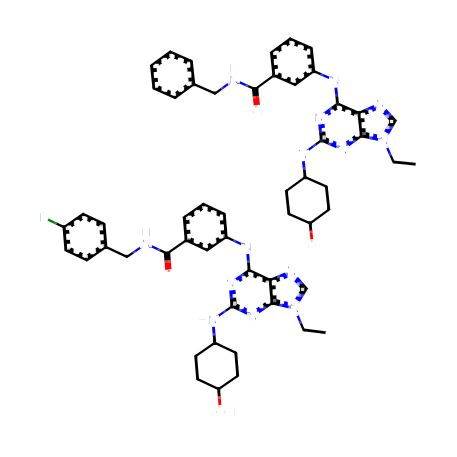 CCn1cnc2c(Nc3cccc(C(=O)NCc4ccc(F)cc4)c3)nc(NC3CCC(O)CC3)nc21.CCn1cnc2c(Nc3cccc(C(=O)NCc4ccccc4)c3)nc(NC3CCC(O)CC3)nc21